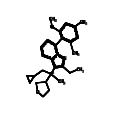 CCc1nn2c(-c3c(C)cc(C)cc3OC)cccc2c1[N+](C)(CC1CC1)C1CCOC1